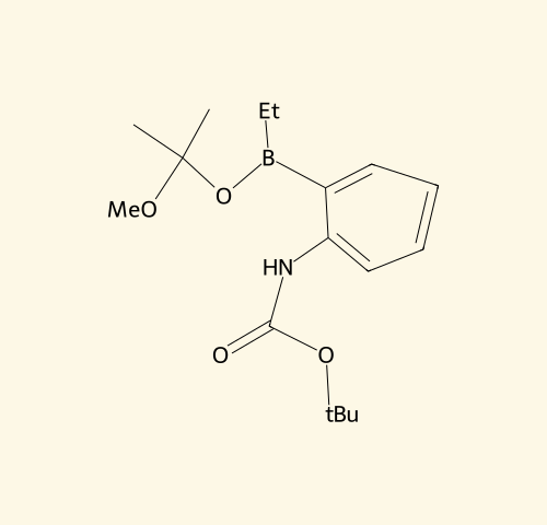 CCB(OC(C)(C)OC)c1ccccc1NC(=O)OC(C)(C)C